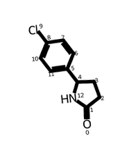 O=C1CCC(c2ccc(Cl)cc2)N1